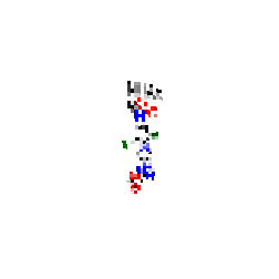 CC(=O)NC[C@H]1CN(c2cc(F)c(N3CCC(n4nnc(CS(C)(=O)=O)n4)CC3)c(F)c2)C(=O)O1